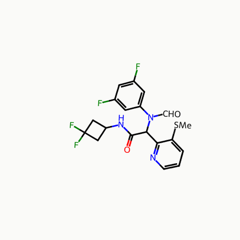 CSc1cccnc1C(C(=O)NC1CC(F)(F)C1)N(C=O)c1cc(F)cc(F)c1